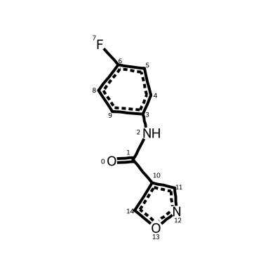 O=C(Nc1ccc(F)cc1)c1cnoc1